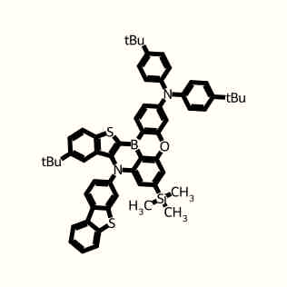 CC(C)(C)c1ccc(N(c2ccc(C(C)(C)C)cc2)c2ccc3c(c2)Oc2cc([Si](C)(C)C)cc4c2B3c2sc3ccc(C(C)(C)C)cc3c2N4c2ccc3c(c2)sc2ccccc23)cc1